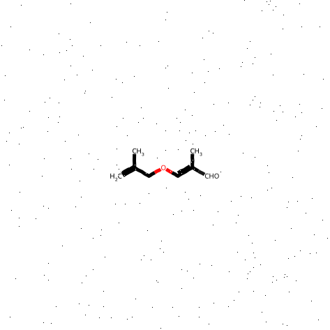 C=C(C)COC=C(C)C=O